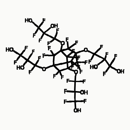 OC(F)(F)C(O)(F)C(F)(F)OC12C(F)(F)C3(OC(F)(F)C(O)(F)C(O)(F)F)C(F)(F)C(OC(F)(F)C(O)(F)C(O)(F)F)(C1(F)F)C(F)(F)C(OC(F)(F)C(O)(F)C(O)(F)F)(C2(F)F)C3(F)F